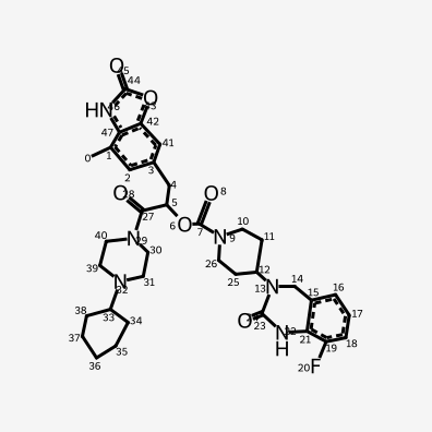 Cc1cc(CC(OC(=O)N2CCC(N3Cc4cccc(F)c4NC3=O)CC2)C(=O)N2CCN(C3CCCCC3)CC2)cc2oc(=O)[nH]c12